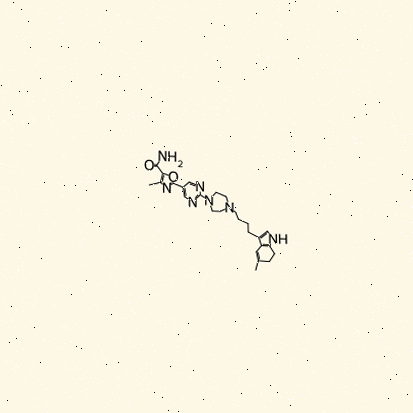 CC1=Cc2c(CCCCN3CCN(c4ncc(-c5nc(C)c(C(N)=O)o5)cn4)CC3)c[nH]c2CC1